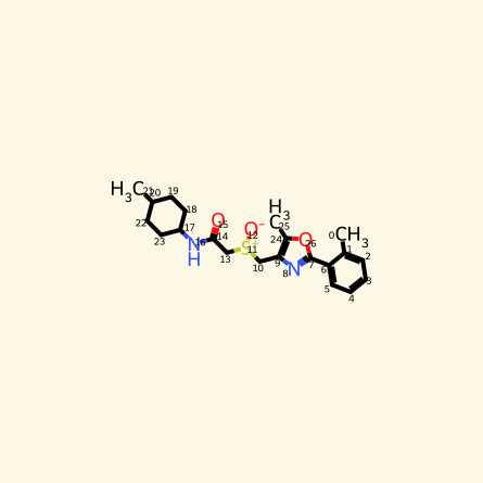 Cc1ccccc1-c1nc(C[S+]([O-])CC(=O)NC2CCC(C)CC2)c(C)o1